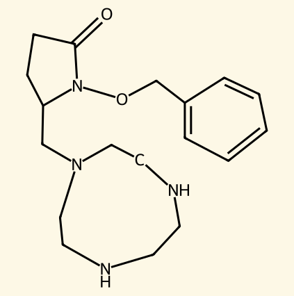 O=C1CCC(CN2CCNCCNCC2)N1OCc1ccccc1